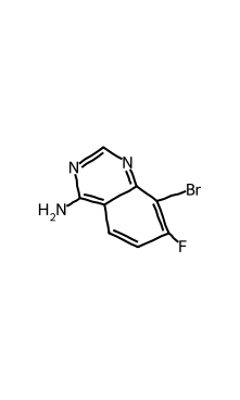 Nc1ncnc2c(Br)c(F)ccc12